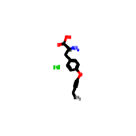 CCC#COc1ccc(C[C@H](N)C(=O)O)cc1.Cl